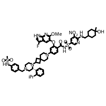 COc1nc2[nH]cc(F)c2cc1Oc1cc(N2CCC3(CC2)CC(N2CCN(Cc4ccc(NS(C)(=O)=O)cc4)C[C@H]2c2ccccc2C(C)C)C3)ccc1C(=O)NS(=O)(=O)c1cnc(NCC2CCC(C)(O)CC2)c([N+](=O)[O-])c1